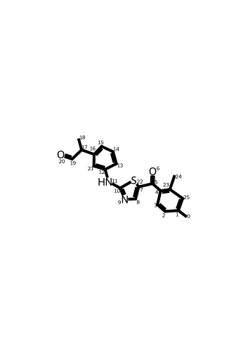 Cc1ccc(C(=O)c2cnc(Nc3cccc(C(C)C=O)c3)s2)c(C)c1